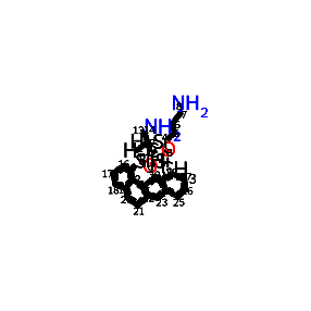 C[Si](C)(O[SiH2]CCCN)O[SiH](CCCN)c1cccc2ccc3cc4ccccc4cc3c12